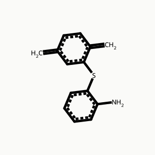 C=c1ccc(=C)c(Sc2ccccc2N)c1